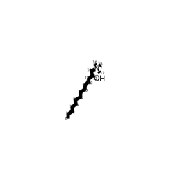 CCCCCCCCCCCCC(O)C[N+](C)(C)C